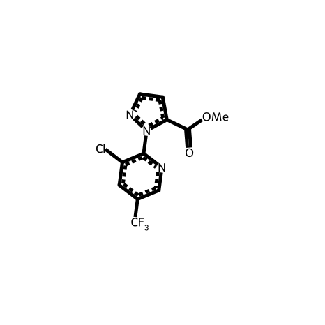 COC(=O)c1ccnn1-c1ncc(C(F)(F)F)cc1Cl